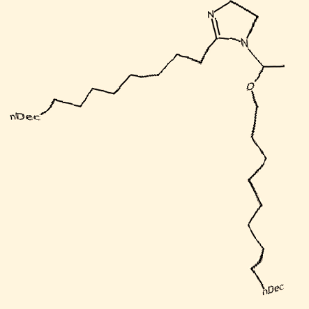 CCCCCCCCCCCCCCCCCCOC(C)N1CCN=C1CCCCCCCCCCCCCCCCCC